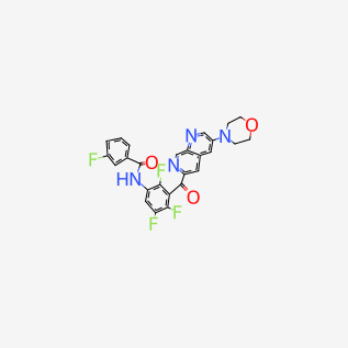 O=C(Nc1cc(F)c(F)c(C(=O)c2cc3cc(N4CCOCC4)cnc3cn2)c1F)c1cccc(F)c1